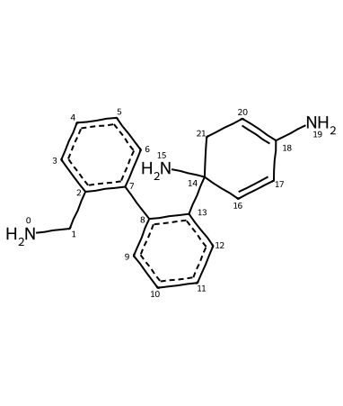 NCc1ccccc1-c1ccccc1C1(N)C=CC(N)=CC1